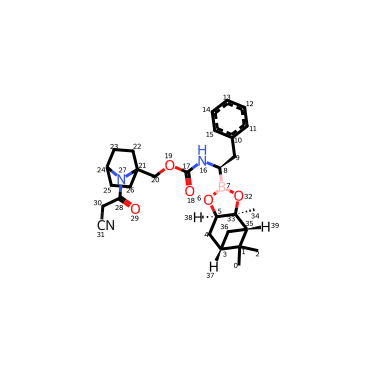 CC1(C)[C@@H]2C[C@H]3OB([C@H](Cc4ccccc4)NC(=O)OCC45CCC(CC4)N5C(=O)CC#N)O[C@@]3(C)[C@H]1C2